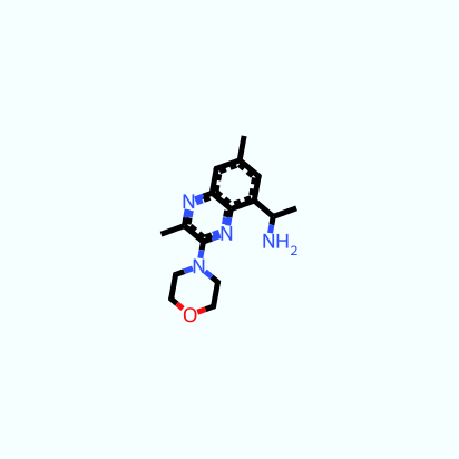 Cc1cc(C(C)N)c2nc(N3CCOCC3)c(C)nc2c1